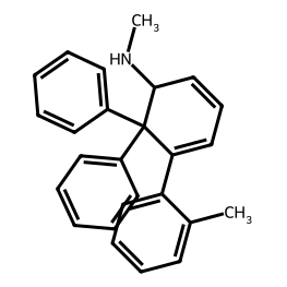 CNC1C=CC=C(c2ccccc2C)C1(c1ccccc1)c1ccccc1